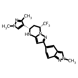 Cc1nn(C)cc1[C@@H]1C[C@H](C(F)(F)F)n2nc(-c3ccc4nn(C)cc4c3)cc2N1